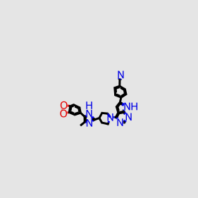 Cc1nc(C2CCN(c3ncnc4[nH]c(-c5ccc(C#N)cc5)cc34)CC2)[nH]c1-c1ccc2c(c1)OCO2